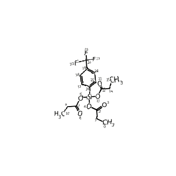 CCC(=O)O[Si](OC(=O)CC)(OC(=O)CC)c1ccc(C(F)(F)F)cc1